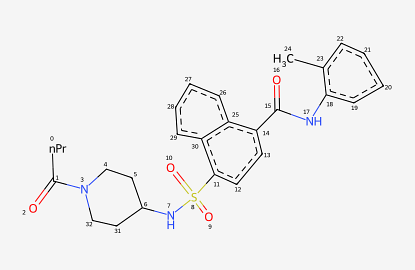 CCCC(=O)N1CCC(NS(=O)(=O)c2ccc(C(=O)Nc3ccccc3C)c3ccccc23)CC1